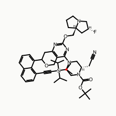 CC(C)[Si](C#Cc1cccc2cccc(C3Cc4nc(OC[C@@]56CCCN5C[C@H](F)C6)nc(N5CCN(C(=O)OC(C)(C)C)[C@@H](CC#N)C5)c4CO3)c12)(C(C)C)C(C)C